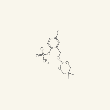 CC1(C)COB(OCc2cc(F)ccc2OS(=O)(=O)C(F)(F)F)OC1